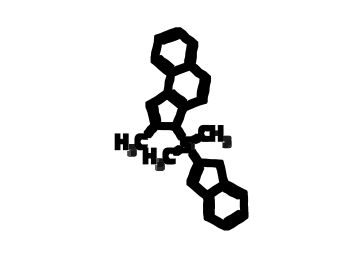 CC1=Cc2c(ccc3ccccc23)C1[Si](C)(C)C1=Cc2ccccc2C1